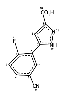 N#Cc1ccc(F)c(-c2cc(C(=O)O)n[nH]2)c1